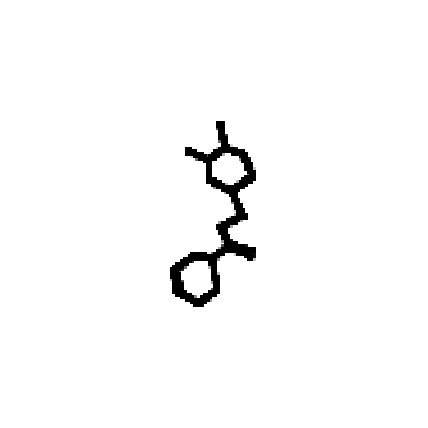 CC1CCC(CCC(=O)C2CC=CCC2)CC1C